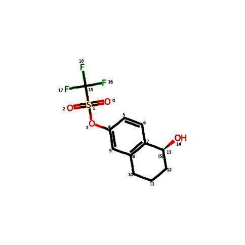 O=S(=O)(Oc1ccc2c(c1)CCC[C@@H]2O)C(F)(F)F